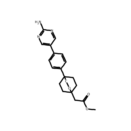 COC(=O)CC12CCC(c3ccc(-c4cnc(N)nc4)cc3)(CC1)CO2